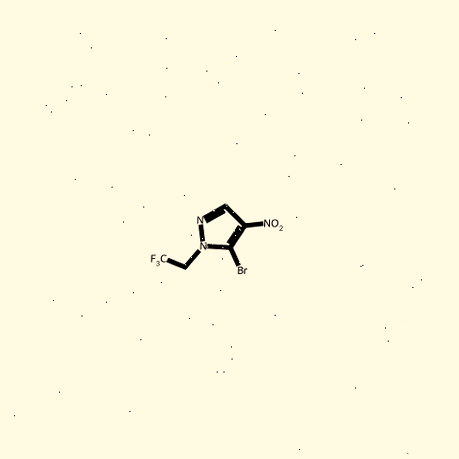 O=[N+]([O-])c1cnn(CC(F)(F)F)c1Br